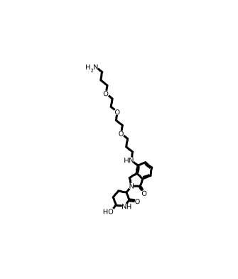 NCCCOCCOCCOCCCNc1cccc2c1CN(C1CCC(O)NC1=O)C2=O